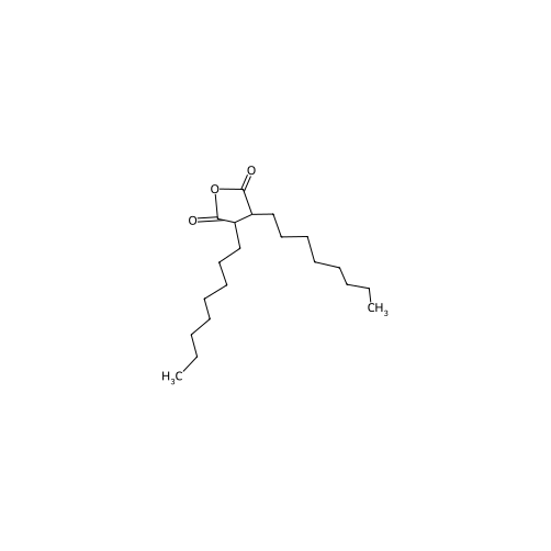 CCCCCCCCC1C(=O)OC(=O)C1CCCCCCCC